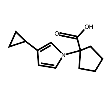 O=C(O)C1(n2ccc(C3CC3)c2)CCCC1